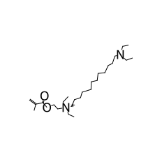 C=C(C)C(=O)OCC[N+](CC)(CC)CCCCCCCCCCCCN(CC)CC